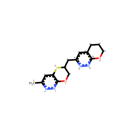 Cc1cc2c(nn1)OCC(Cc1cc3c(nn1)OCCC3)S2